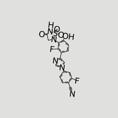 N#Cc1ccc(-n2cnc(-c3ccc(O)c(N4CC(=O)NS4(=O)=O)c3F)c2)cc1F